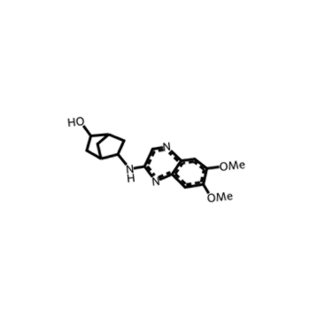 COc1cc2ncc(NC3CC4CC3CC4O)nc2cc1OC